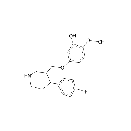 COc1ccc(OCC2CNCCC2c2ccc(F)cc2)cc1O